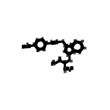 COc1ccc(C#CCn2cc(CC(OC(C)C)C(=O)O)c3ccccc32)cc1